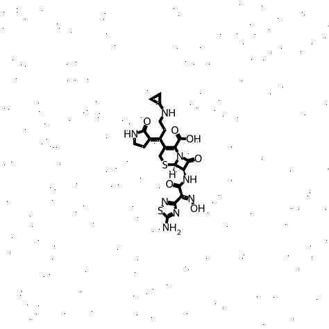 Nc1nc(C(=NO)C(=O)N[C@@H]2C(=O)N3C(C(=O)O)=C(C(CCNC4CC4)=C4CCNC4=O)CS[C@H]23)ns1